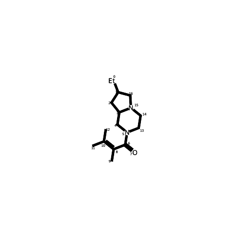 CCC1CC2CN(C(=O)C(C)=C(C)C)CCN2C1